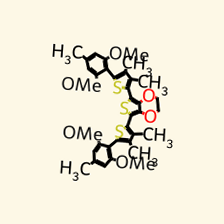 COc1cc(C)cc(OC)c1-c1sc(-c2sc(-c3sc(-c4c(OC)cc(C)cc4OC)c(C)c3C)c3c2OCCO3)c(C)c1C